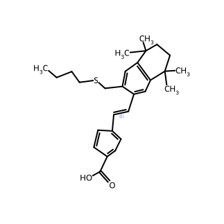 CCCCSCc1cc2c(cc1/C=C/c1ccc(C(=O)O)cc1)C(C)(C)CCC2(C)C